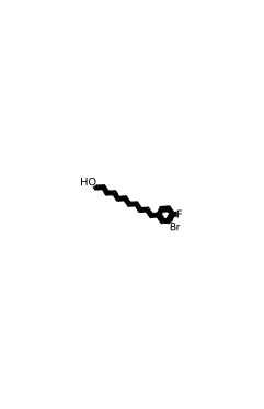 OCCCCCCCCCCCc1ccc(F)c(Br)c1